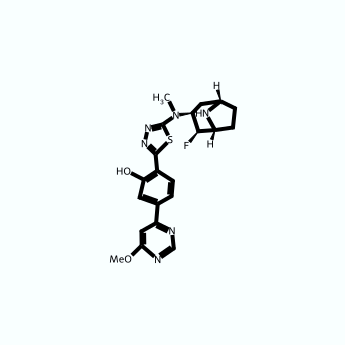 COc1cc(-c2ccc(-c3nnc(N(C)[C@H]4C[C@@H]5CC[C@@H](N5)[C@H]4F)s3)c(O)c2)ncn1